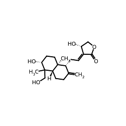 C=C1CC[C@@H]2C(C)(CO)[C@H](O)CC[C@@]2(C)[C@@H]1C/C=C1/C(=O)OC[C@H]1O